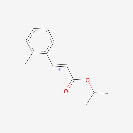 Cc1ccccc1/C=C/C(=O)OC(C)C